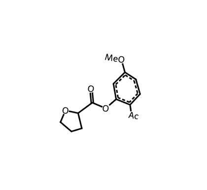 COc1ccc(C(C)=O)c(OC(=O)C2CCCO2)c1